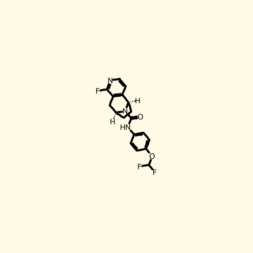 O=C(Nc1ccc(OC(F)F)cc1)N1[C@H]2CC[C@@H]1c1ccnc(F)c1C2